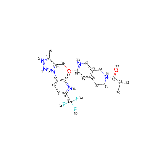 Cc1nnn(-c2ccc(C(F)(F)F)nc2)c1COc1cc2c(cn1)CN(C(=O)C(C)C)CC2